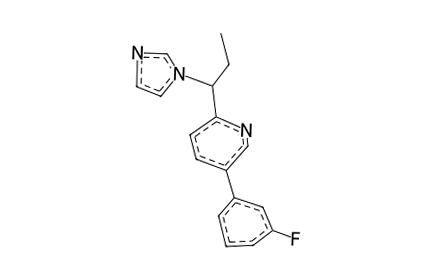 CCC(c1ccc(-c2cccc(F)c2)cn1)n1ccnc1